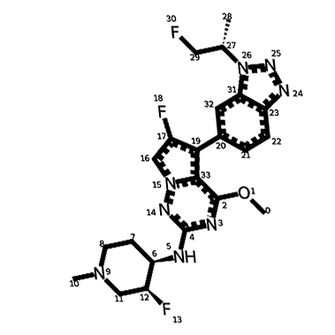 COc1nc(N[C@@H]2CCN(C)C[C@@H]2F)nn2cc(F)c(-c3ccc4nnn([C@@H](C)CF)c4c3)c12